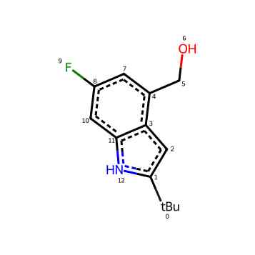 CC(C)(C)c1cc2c(CO)cc(F)cc2[nH]1